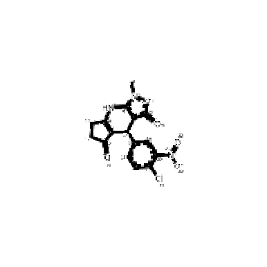 Cn1oc(=O)c2c1NC1=C(C(=O)CC1)C2c1ccc(Cl)c([N+](=O)[O-])c1